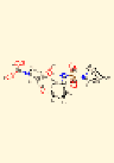 CO[C@@H]1CN(C(=O)O)C[C@H]1Oc1cccc(NS(=O)(=O)N2CC3CC3C2)c1